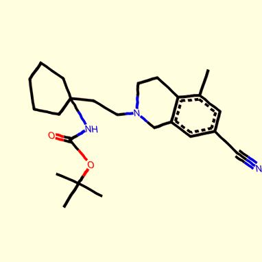 Cc1cc(C#N)cc2c1CCN(CCC1(NC(=O)OC(C)(C)C)CCCCC1)C2